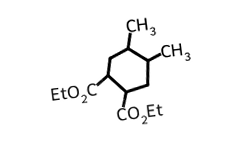 CCOC(=O)C1CC(C)C(C)CC1C(=O)OCC